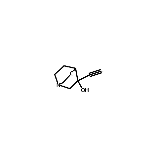 [C]#CC1(O)CN2CCC1CC2